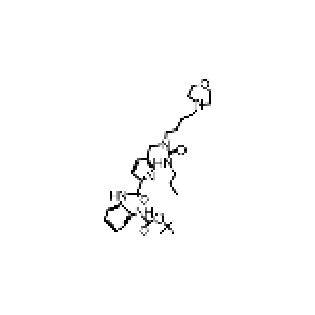 CCCNC(=O)N(CCCCN1CCOCC1)Cc1ccc(C(=O)Nc2ccccc2NC(=O)OC(C)(C)C)nc1